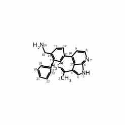 C=C(C)c1c[nH]c2nccc(-c3ccc(CN)c(-c4ccccc4)c3)c12